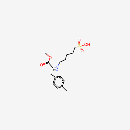 COC(=O)[C@@H](Cc1ccc(C)cc1)NCCCCCS(=O)(=O)O